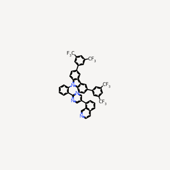 FC(F)(F)c1cc(-c2ccc3c(c2)c2cc(-c4cc(C(F)(F)F)cc(C(F)(F)F)c4)ccc2n3-c2ccccc2-c2ncc(-c3cccc4ccncc34)cn2)cc(C(F)(F)F)c1